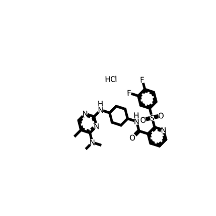 Cc1cnc(NC2CCC(NC(=O)c3cccnc3S(=O)(=O)c3ccc(F)c(F)c3)CC2)nc1N(C)C.Cl